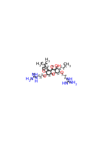 C/C=C\Cc1c(OCCCNC(=N)N)cc2oc3cc(OCCCNC(=N)N)c(OC)c(CC=C(C)C)c3c(=O)c2c1O